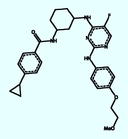 COCCOc1ccc(Nc2ncc(F)c(NC3CCCC(NC(=O)c4ccc(C5CC5)cc4)C3)n2)cc1